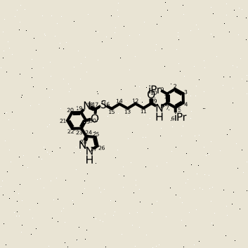 CC(C)c1cccc(C(C)C)c1NC(=O)CCCCCSc1nc2cccc(-c3cc[nH]n3)c2o1